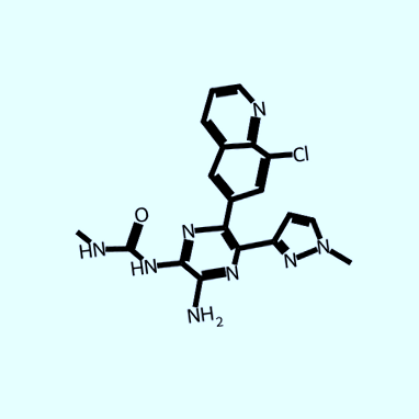 CNC(=O)Nc1nc(-c2cc(Cl)c3ncccc3c2)c(-c2ccn(C)n2)nc1N